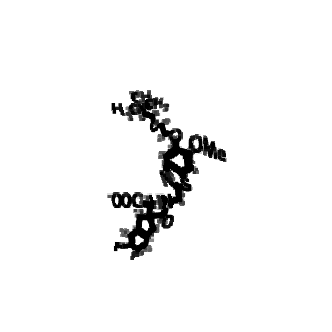 COc1cc2sc(CNC(=O)C3(CC(=O)[O-])Cc4cc(F)c(F)cc4C3)nc2cc1OCCOCC[N+](C)(C)C